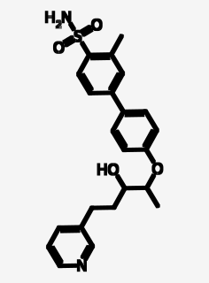 Cc1cc(-c2ccc(OC(C)C(O)CCc3cccnc3)cc2)ccc1S(N)(=O)=O